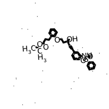 CC(C)OC(=O)CCc1ccccc1OCCC(O)C#Cc1cccc(NS(=O)(=O)c2ccccc2)c1